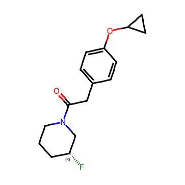 O=C(Cc1ccc(OC2CC2)cc1)N1CCC[C@@H](F)C1